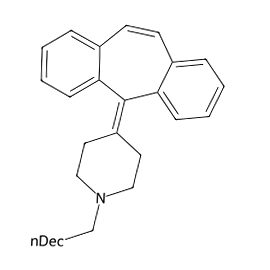 CCCCCCCCCCCN1CCC(=C2c3ccccc3C=Cc3ccccc32)CC1